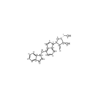 OC[C@H]1OC(n2cnc3c(On4nnc5ccccc54)ncnc32)[C@H](F)[C@@H]1O